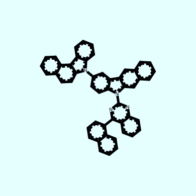 c1ccc2cc3c(cc2c1)c1cc(-n2c4ccccc4c4c5ccccc5ccc42)ccc1n3-c1nc(-c2cccc3ccccc23)c2ccccc2n1